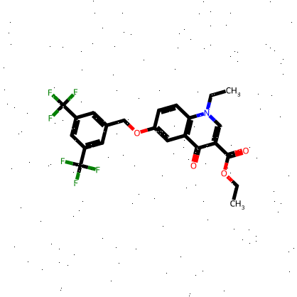 CCOC(=O)c1cn(CC)c2ccc(OCc3cc(C(F)(F)F)cc(C(F)(F)F)c3)cc2c1=O